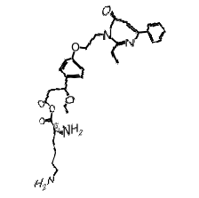 CCOC(CC(=O)OC(=O)[C@@H](N)CCCCN)c1ccc(OCCn2c(CC)nc(-c3ccccc3)cc2=O)cc1